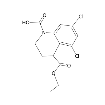 CCOC(=O)C1CCN(C(=O)O)c2cc(Cl)cc(Cl)c21